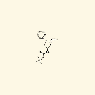 CC(C)(C)OC(=O)N[C@@H]1C[C@H](CO)[C@@H](c2ccccc2)C1